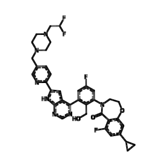 O=C1c2c(F)cc(C3CC3)cc2OCCN1c1cc(F)cc(-c2ncnc3[nH]c(-c4ccc(CN5CCN(CC(F)F)CC5)cn4)cc23)c1CO